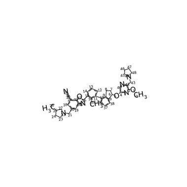 COc1nc(O[C@@H]2CCc3c(-c4cccc(-c5nc6cc(CN7CC[C@@H](C)C7)cc(C#N)c6o5)c4C)cccc32)cnc1CN1CCCC1